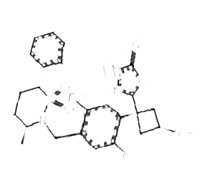 C[C@H]1CC[C@H](c2ccccc2)S(=O)(=O)N1Cc1cc(F)c([C@]2(c3n[nH]c(=O)o3)C[C@H](C(F)(F)F)C2)cc1F